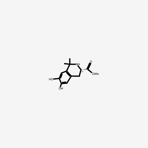 COC(=O)[C@@H]1Cc2cc(O)c(O)cc2C(C)(C)N1